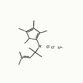 CC1=C(C)C(C)C([N-]C(C)(C)C=[Si](C)C)=C1C.[Cl-].[Cl-].[Ti+3]